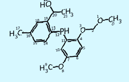 COCOc1ccc(OC)cc1Pc1ccc(C)cc1C(C)O